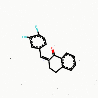 O=C1/C(=C\c2ccc(F)c(F)c2)CCc2ccccc21